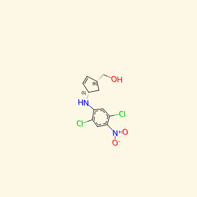 O=[N+]([O-])c1cc(Cl)c(N[C@@H]2C=C[C@H](CO)C2)cc1Cl